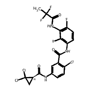 CC(F)(F)C(=O)Nc1c(F)ccc(NC(=O)c2cc(NC(=O)[C@H]3CC3(Cl)Cl)ccc2Cl)c1F